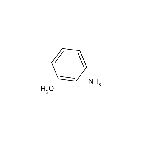 N.O.c1ccccc1